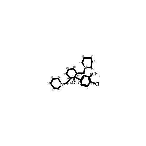 OC1(c2ccc(Cl)c(C(F)(F)F)c2)C(CN2CCCCC2)CCCC1CN1CCCCC1